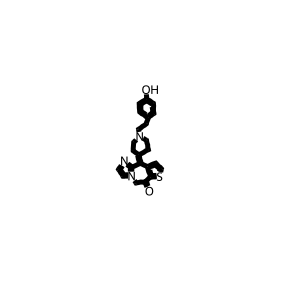 O=C1Cn2ccnc2C(=C2CCN(CCc3ccc(O)cc3)CC2)c2ccsc21